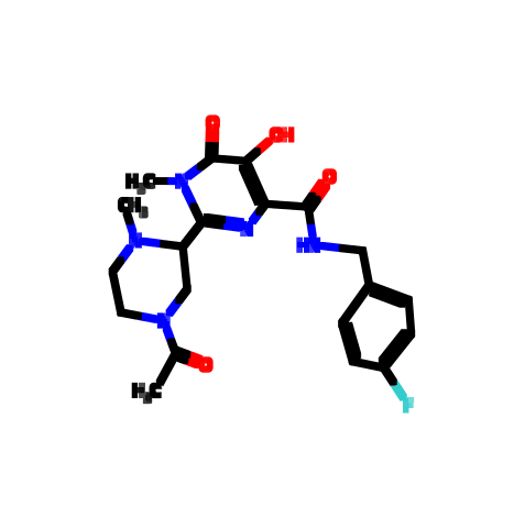 CC(=O)N1CCN(C)C(c2nc(C(=O)NCc3ccc(F)cc3)c(O)c(=O)n2C)C1